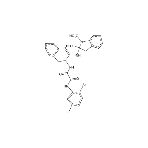 CC(=O)c1ccc(Cl)cc1NC(=O)C(=O)NC(Cc1ccccc1)C(=O)NC1(C(=O)O)Cc2ccccc2N1C(=O)O